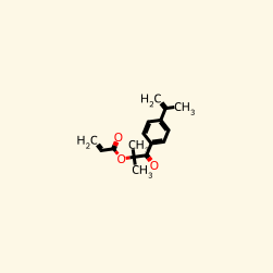 C=CC(=O)OC(C)(C)C(=O)c1ccc(C(=C)C)cc1